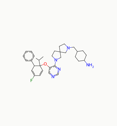 CC(C)C1(Oc2cncnc2N2CCC3(CCN(CC4CCC(N)CC4)C3)C2)C=CC(F)=CC1c1ccccc1